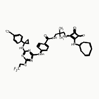 CC(C)(CNC(=O)c1ccc(Nc2nc(NC3(c4ccc(Cl)cc4)CC3)nc(OCC(F)(F)F)n2)cc1)CNc1c(NC2CCCCCC2)c(=O)c1=O